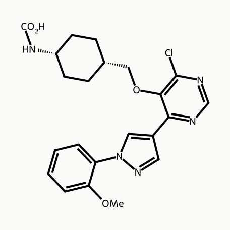 COc1ccccc1-n1cc(-c2ncnc(Cl)c2OC[C@H]2CC[C@@H](NC(=O)O)CC2)cn1